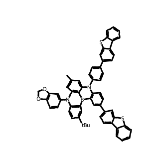 Cc1cc2c3c(c1)N(c1ccc4c(c1)OCO4)c1ccc(C(C)(C)C)cc1B3c1cc(-c3ccc4c(c3)sc3ccccc34)ccc1N2c1ccc(-c2ccc3c(c2)sc2ccccc23)cc1